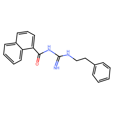 N=C(NCCc1ccccc1)NC(=O)c1cccc2ccccc12